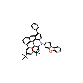 CC(C)(C)c1cc(-c2cccc3cccc(-c4ccccc4N(c4ccc(-c5ccccc5)cc4)c4ccc5c(c4)oc4ccccc45)c23)cc(C(C)(C)C)c1